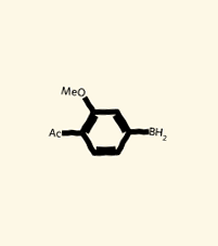 Bc1ccc(C(C)=O)c(OC)c1